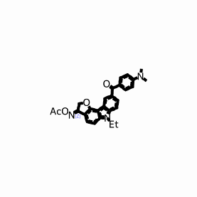 CCn1c2ccc(C(=O)c3ccc(N(C)C)cc3)cc2c2c3c(ccc21)/C(=N/OC(C)=O)CO3